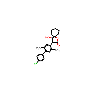 Cc1cc(-c2ccc(Cl)cc2)c(C)cc1C1=C(O)C2(CCCCC2)OC1=O